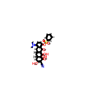 CN(C)c1ccc(OS(=O)(=O)c2ccccc2)c2c1C[C@H]1C[C@H]3CC(O)=C(C#N)C(=O)[C@@]3(O)C(O)=C1C2=O